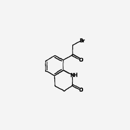 O=C1CCc2cccc(C(=O)CBr)c2N1